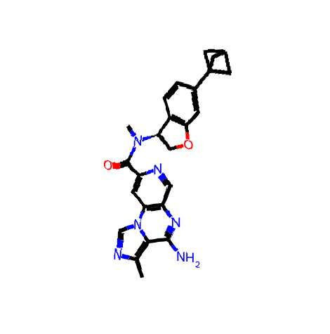 Cc1ncn2c1c(N)nc1cnc(C(=O)N(C)[C@@H]3COc4cc(C56CC(C5)C6)ccc43)cc12